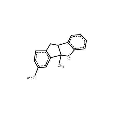 COc1ccc2c(c1)C1(C)Nc3ccccc3C1C2